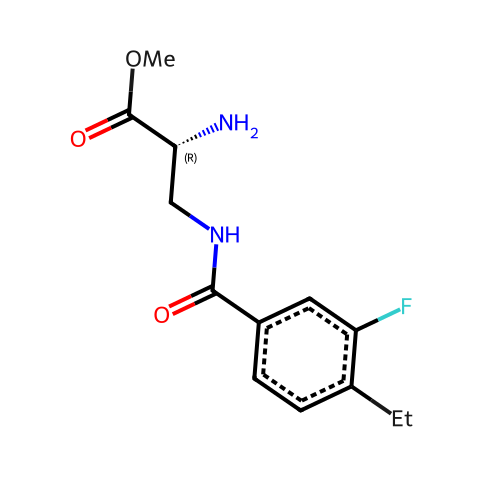 CCc1ccc(C(=O)NC[C@@H](N)C(=O)OC)cc1F